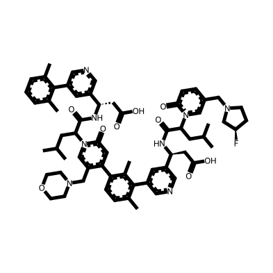 Cc1cccc(C)c1-c1cncc([C@H](CC(=O)O)NC(=O)C(CC(C)C)n2cc(CN3CCOCC3)c(-c3ccc(C)c(-c4cncc([C@H](CC(=O)O)NC(=O)C(CC(C)C)n5cc(CN6CC[C@@H](F)C6)ccc5=O)c4)c3C)cc2=O)c1